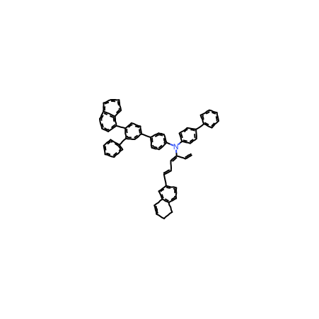 C=C/C(=C\C=C\c1ccc2c(c1)C=CCC2)N(c1ccc(-c2ccccc2)cc1)c1ccc(-c2ccc(-c3cccc4ccccc34)c(-c3ccccc3)c2)cc1